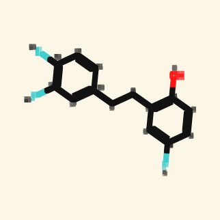 Oc1ccc(F)cc1CCc1ccc(F)c(F)c1